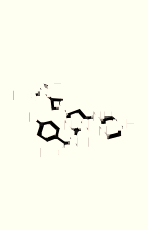 C[C@H](Nc1nc(NC2=NC=CNC2)cc(N2CC(N(C)C)C2)n1)c1ccc(F)cc1